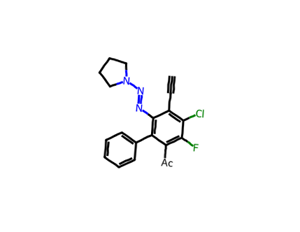 C#Cc1c(Cl)c(F)c(C(C)=O)c(-c2ccccc2)c1/N=N/N1CCCC1